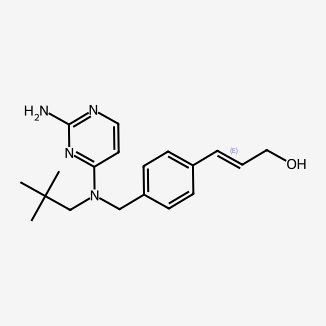 CC(C)(C)CN(Cc1ccc(/C=C/CO)cc1)c1ccnc(N)n1